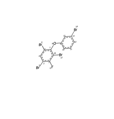 Fc1c(Br)cc(Br)c(Oc2cccc(Br)c2)c1Br